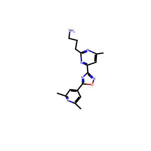 Cc1cc(-c2nc(-c3cc(C)nc(CCCN)n3)no2)cc(C)n1